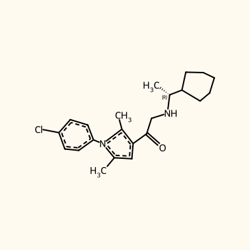 Cc1cc(C(=O)CN[C@H](C)C2CCCCC2)c(C)n1-c1ccc(Cl)cc1